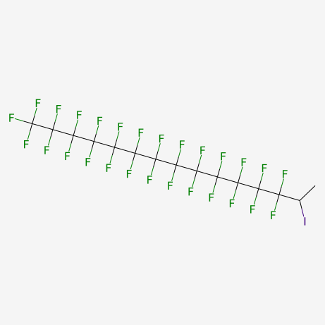 CC(I)C(F)(F)C(F)(F)C(F)(F)C(F)(F)C(F)(F)C(F)(F)C(F)(F)C(F)(F)C(F)(F)C(F)(F)C(F)(F)C(F)(F)C(F)(F)F